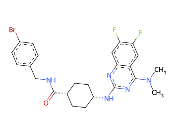 CN(C)c1nc(N[C@H]2CC[C@@H](C(=O)NCc3ccc(Br)cc3)CC2)nc2cc(F)c(F)cc12